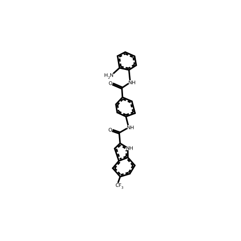 Nc1ccccc1NC(=O)c1ccc(NC(=O)c2cc3cc(C(F)(F)F)ccc3[nH]2)cc1